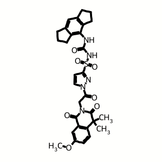 COc1ccc2c(c1)C(=O)N(CC(=O)n1ccc(S(=O)(=O)NC(=O)Nc3c4c(cc5c3CCC5)CCC4)n1)C(=O)C2(C)C